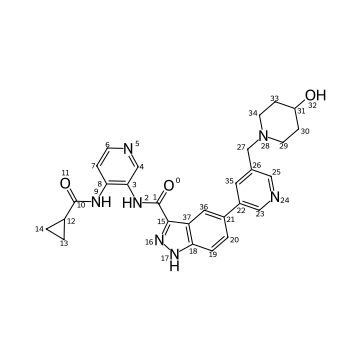 O=C(Nc1cnccc1NC(=O)C1CC1)c1n[nH]c2ccc(-c3cncc(CN4CCC(O)CC4)c3)cc12